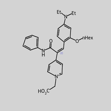 CCCCCCOc1cc(N(CC)CC)ccc1/C=C(\C(=O)Nc1ccccc1)c1cc[n+](CC(=O)O)cc1